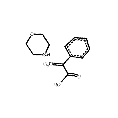 C1COCCN1.C=C(C(=O)O)c1ccccc1